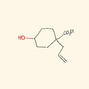 C=CCC1(C(=O)OCC)CCC(O)CC1